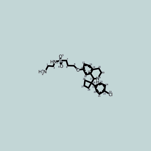 NCCNS(=O)(=O)CCCOc1ccc2c(c1)C(C1(c3ccc(Cl)cc3)CCC1)NCC2